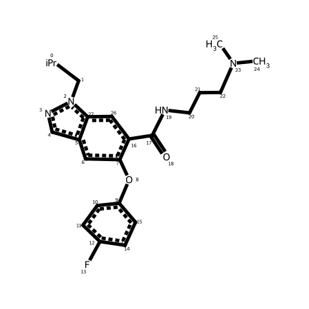 CC(C)Cn1ncc2cc(Oc3ccc(F)cc3)c(C(=O)NCCCN(C)C)cc21